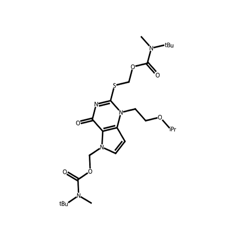 CC(C)OCCn1c(SCOC(=O)N(C)C(C)(C)C)nc(=O)c2c1ccn2COC(=O)N(C)C(C)(C)C